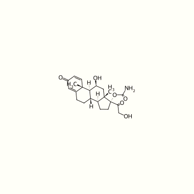 C[C@]12C=CC(=O)C=C1CC[C@@H]1[C@@H]2[C@@H](O)C[C@@]2(C)[C@H]1CC[C@]2(OC(N)=O)C(=O)CO